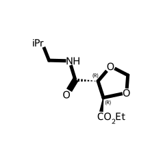 CCOC(=O)[C@@H]1OCO[C@H]1C(=O)NCC(C)C